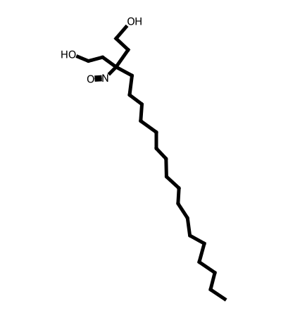 CCCCCCCCCCCCCCCCCC(CCO)(CCO)N=O